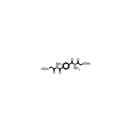 CCCCCCCCCCCC(=O)N(N)C(=O)c1ccc(C(=O)N(N)C(=O)CCCCCCCCCCC)cc1